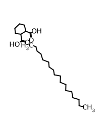 CCCCCCCCCCCCCCCCCC.O=C(O)C1CCCCC1C(=O)O